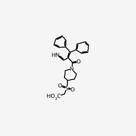 N=CC(C(=O)N1CCC(S(=O)(=O)CC(=O)O)CC1)=C(c1ccccc1)c1ccccc1